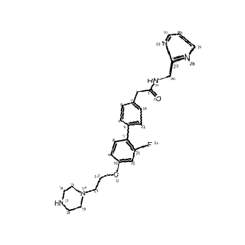 O=C(Cc1ccc(-c2ccc(OCCN3CCNCC3)cc2F)cc1)NCc1ncccn1